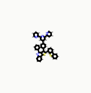 c1ccc(-c2nc3ccccc3c3sc(-c4cccc5c4sc4ccccc45)c(-c4ccc(-c5cc(-c6ccccn6)nc(-c6ccccn6)c5)cc4)c23)cc1